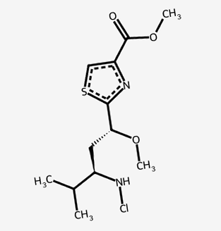 COC(=O)c1csc([C@@H](C[C@@H](NCl)C(C)C)OC)n1